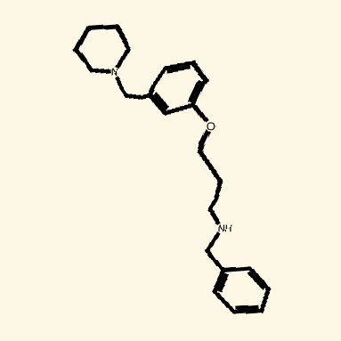 c1ccc(CNCCCOc2cccc(CN3CCCCC3)c2)cc1